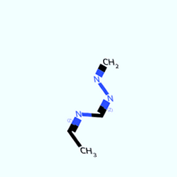 C=N/N=C\N=C/C